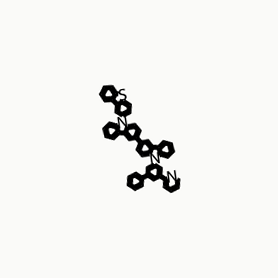 c1ccc(-c2cc(-c3ccccn3)cc(-n3c4ccccc4c4cc(-c5ccc6c(c5)c5ccccc5n6-c5ccc6sc7ccccc7c6c5)ccc43)c2)cc1